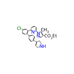 CCOC(=O)c1cnn(-c2cccc(-c3cc(Cl)ccc3-c3ccc(C4=CCNCC4)cc3)n2)c1C